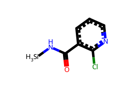 O=C(N[SiH3])c1cccnc1Cl